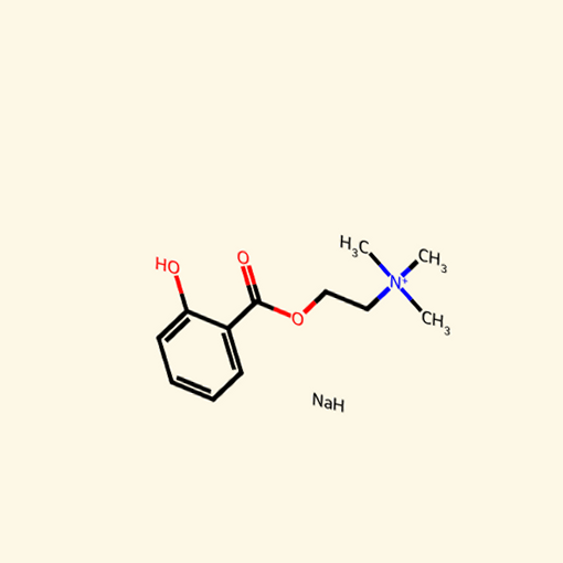 C[N+](C)(C)CCOC(=O)c1ccccc1O.[NaH]